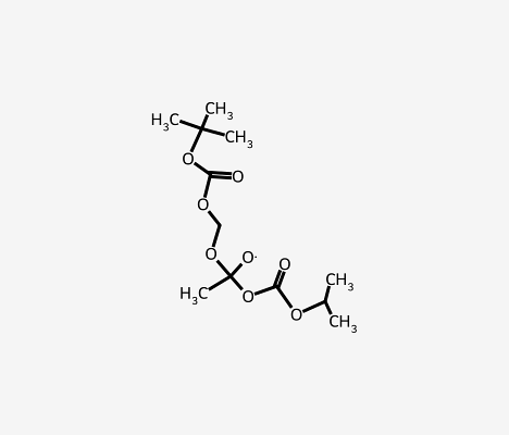 CC(C)OC(=O)OC(C)([O])OCOC(=O)OC(C)(C)C